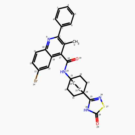 Cc1c(-c2ccccc2)nc2ccc(Br)cc2c1C(=O)NC12CCC(c3nsc(=O)[nH]3)(CC1)CC2